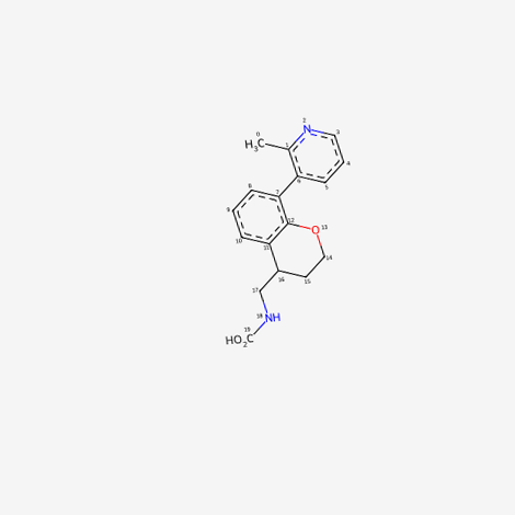 Cc1ncccc1-c1cccc2c1OCCC2CNC(=O)O